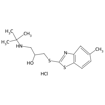 Cc1ccc2sc(SCC(O)CNC(C)(C)C)nc2c1.Cl